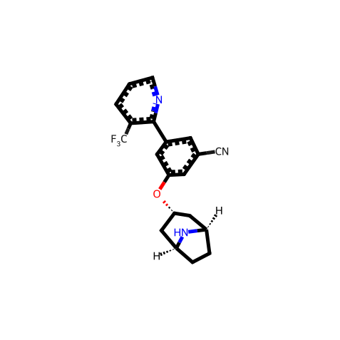 N#Cc1cc(O[C@@H]2C[C@H]3CC[C@@H](C2)N3)cc(-c2ncccc2C(F)(F)F)c1